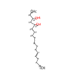 C#CCC/C=C/CCCCCCC[C@H](O)CC(O)COC(C)=O